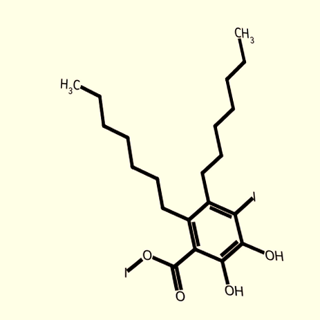 CCCCCCCc1c(I)c(O)c(O)c(C(=O)OI)c1CCCCCCC